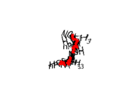 CCC[C@@]1(O)CC[C@@]2(CC)[C@H](CC[C@H]3[C@@H]4CC[C@H]([C@@H](C)Cn5cc(C#[N+]CCC[C@@]6(O)CC[C@@]7(CCC)[C@H](CC[C@H]8[C@@H]9CC[C@H]([C@H](C)Cn%10cc(C#N)cn%10)[C@@]9(C)CC[C@@H]87)C6)cn5)[C@@]4(C)CC[C@@H]32)C1